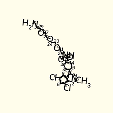 CN1Cc2c(Cl)cc(Cl)cc2C(C2CCC(S(=O)(=O)NCCOCCOCCOCCN)CC2)C1